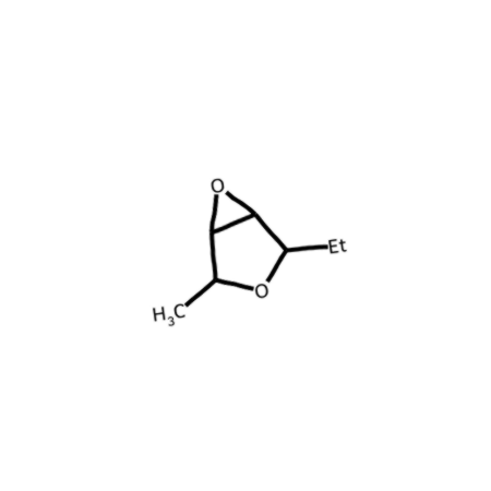 CCC1OC(C)C2OC12